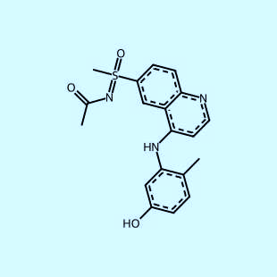 CC(=O)N=S(C)(=O)c1ccc2nccc(Nc3cc(O)ccc3C)c2c1